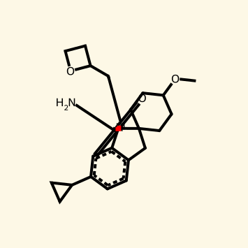 COC1CCC2(CC1)Cc1ccc(C3CC3)cc1C21N=C(N)N(CC2CCO2)C1=O